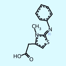 Cn1c(CC(=O)O)cs/c1=N/c1ccccc1